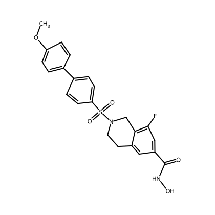 COc1ccc(-c2ccc(S(=O)(=O)N3CCc4cc(C(=O)NO)cc(F)c4C3)cc2)cc1